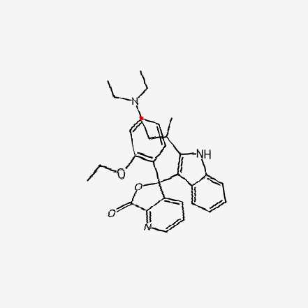 CCOc1cc(N(CC)CC)ccc1C1(c2c(C(C)CC)[nH]c3ccccc23)OC(=O)c2ncccc21